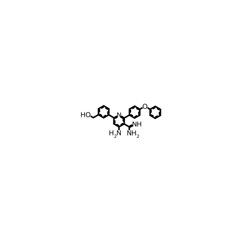 N=C(N)c1c(N)cc(-c2cccc(CO)c2)nc1-c1ccc(Oc2ccccc2)cc1